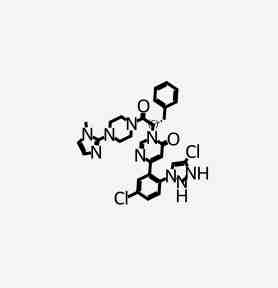 Cn1ccnc1N1CCN(C(=O)[C@H](Cc2ccccc2)n2cnc(-c3cc(Cl)ccc3N3C=C(Cl)NN3)cc2=O)CC1